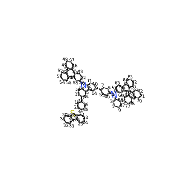 c1ccc(N(c2ccc(-c3ccc4c(c3)c3cc(-c5ccc(-c6cccc7c6sc6ccccc67)cc5)ccc3n4-c3ccc4c5ccccc5c5ccccc5c4c3)cc2)c2ccc3c(c2)C(c2ccccc2)(c2ccccc2)c2ccccc2-3)cc1